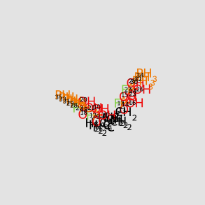 C=C.C=C.C=C.C=C.O=P(O)(O)F.O=P(O)(O)F.O=P(O)(O)F.O=P(O)(O)F.P.P.P.P.P.P.P.P